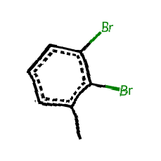 Cc1[c]ccc(Br)c1Br